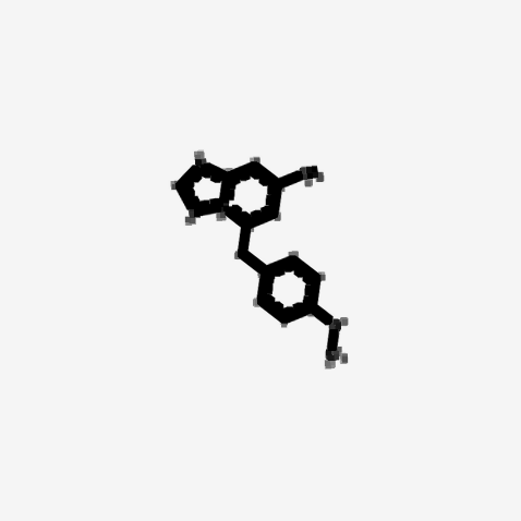 Cc1cc(Cc2ccc(OC(F)(F)F)cc2)n2ncnc2c1